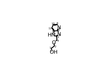 OCCOCc1nc2ncccc2[nH]1